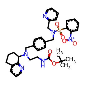 CC(C)(C)OC(=O)NCCN(Cc1ccc(CN(Cc2ccccn2)S(=O)(=O)c2ccccc2[N+](=O)[O-])cc1)C1CCCc2cccnc21